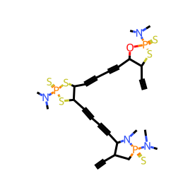 C#CC1CP(=S)(N(C)C)N(C)C1C#CC#CC1SP(=S)(N(C)C)SC1C#CC#CC1OP(=S)(N(C)C)SC1C#C